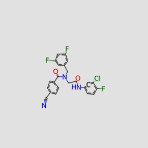 N#Cc1ccc(C(=O)N(CC(=O)Nc2ccc(F)c(Cl)c2)Cc2cc(F)cc(F)c2)cc1